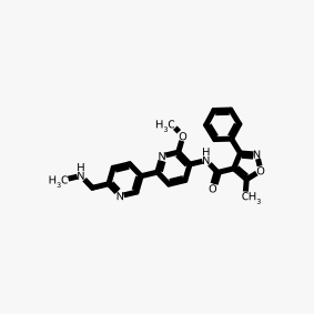 CNCc1ccc(-c2ccc(NC(=O)c3c(-c4ccccc4)noc3C)c(OC)n2)cn1